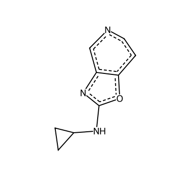 c1cc2oc(NC3CC3)nc2cn1